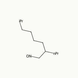 CCCC(CCCCC(C)C)CN=O